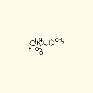 Cc1ccc(/C=C2\CNN(c3cccc(F)c3)C2C(=O)C=O)cc1